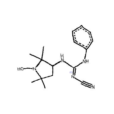 CC1(C)CC(N/C(=N/C#N)Nc2ccccc2)C(C)(C)N1O